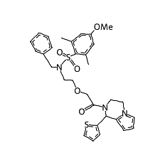 COc1cc(C)c(S(=O)(=O)N(CCOCC(=O)N2CCn3cccc3C2c2cccs2)Cc2ccccc2)c(C)c1